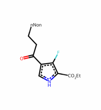 CCCCCCCCCCCC(=O)c1c[nH]c(C(=O)OCC)c1F